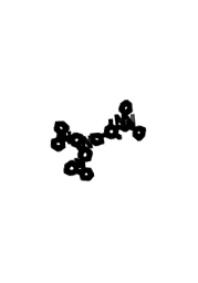 Cc1cc(-c2ccc(-n3c4ccc(-n5c6ccccc6c6ccccc65)cc4c4cc(-n5c6ccccc6c6ccccc65)ccc43)cc2)cc(C)c1-c1cc(-c2ccccc2)nc(-c2ccccc2)n1